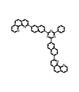 c1ccc(-c2nc(-c3ccc4cc(-c5ccc6ccc7cccnc7c6n5)ccc4c3)nc(-c3ccc4cc(-c5ccc6ccc7cccnc7c6n5)ccc4c3)n2)cc1